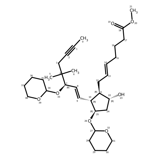 CC#CCC(C)(C)[C@@H](C=C[C@@H]1[C@@H](CC=CCCCC(=O)OC)[C@H](O)C[C@H]1OC1CCCCO1)OC1CCCCO1